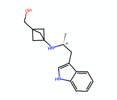 C[C@H](Cc1c[nH]c2ccccc12)NC12CC(CO)(C1)C2